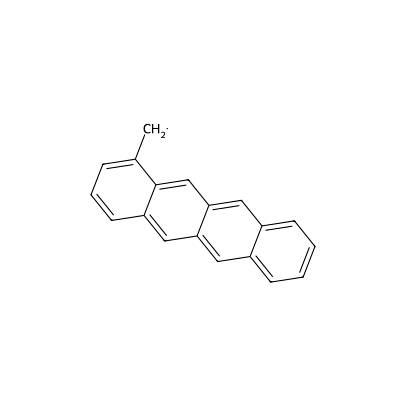 [CH2]c1cccc2cc3cc4ccccc4cc3cc12